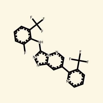 Fc1cccc(C(F)(F)F)c1Nc1nnc2cc(-c3ncccc3C(F)(F)F)cnn12